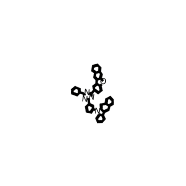 c1ccc(-c2nc(-c3cccc(-n4c5ccccc5c5cc6ccccc6cc54)c3)nc(-c3ccc4oc5cc6ccccc6cc5c4c3)n2)cc1